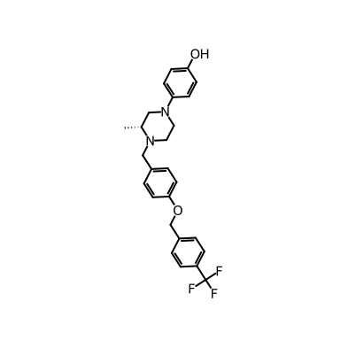 C[C@@H]1CN(c2ccc(O)cc2)CCN1Cc1ccc(OCc2ccc(C(F)(F)F)cc2)cc1